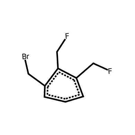 FCc1cccc(CBr)c1CF